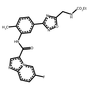 CCOC(=O)NCc1nc(-c2ccc(C)c(NC(=O)c3cnc4ccc(F)cn34)c2)no1